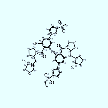 CCS(=O)(=O)c1ccc(-c2ccc(C(=O)N3CCCC3CN3CCC[C@@H]3C)c(F)c2)s1.C[C@H]1CCCN1CC1CCCN1C(=O)c1ccc(-c2ccc(S(C)(=O)=O)s2)cc1F